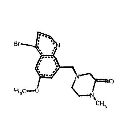 COc1cc(CN2CCN(C)C(=O)C2)c2nccc(Br)c2c1